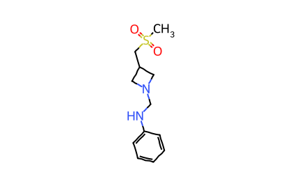 CS(=O)(=O)CC1CN(CNc2ccccc2)C1